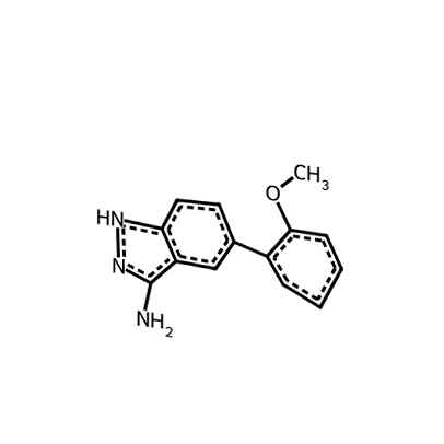 COc1ccccc1-c1ccc2[nH]nc(N)c2c1